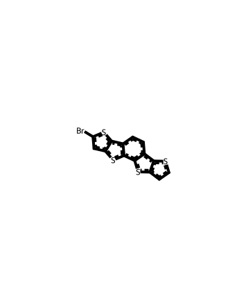 Brc1cc2sc3c(ccc4c5sccc5sc43)c2s1